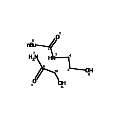 CCCCC(=O)NCCO.NC(=O)CO